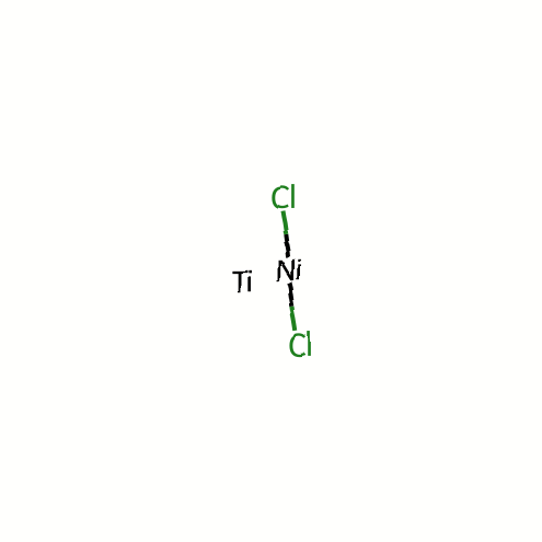 [Cl][Ni][Cl].[Ti]